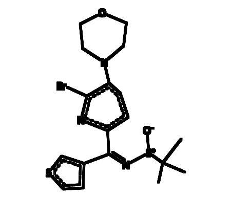 CC(C)(C)[S+]([O-])/N=C(/c1ccsc1)c1ccc(N2CCOCC2)c(Br)n1